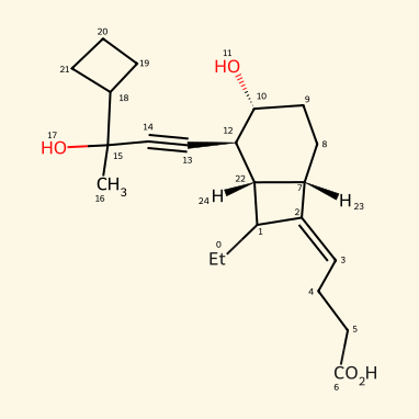 CCC1C(=CCCC(=O)O)[C@H]2CC[C@@H](O)[C@H](C#CC(C)(O)C3CCC3)[C@@H]12